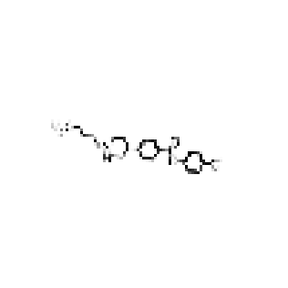 C=CCCC[Si@H]1CC[C@H](c2ccc(C(=O)Oc3ccc(Cl)cc3)cc2)CC1